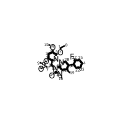 CCOc1nc([C@@H](CS(C)(=O)=O)n2c(=O)n(C)c3c(C)c(-c4ccccc4F)cnc32)ccc1OC